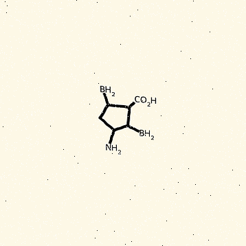 BC1CC(N)C(B)C1C(=O)O